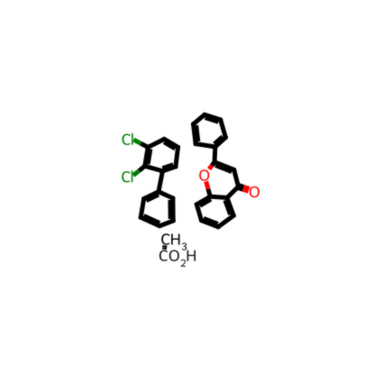 CC(=O)O.Clc1cccc(-c2ccccc2)c1Cl.O=c1cc(-c2ccccc2)oc2ccccc12